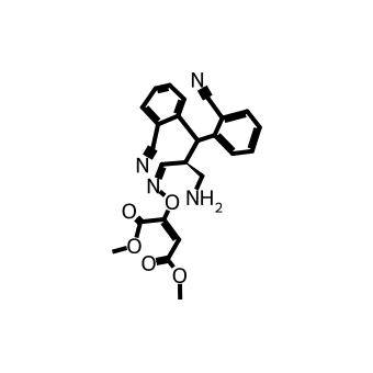 COC(=O)C=C(O/N=C\[C@H](CN)C(c1ccccc1C#N)c1ccccc1C#N)C(=O)OC